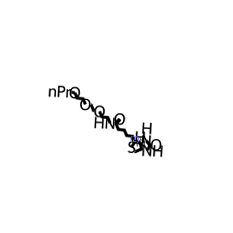 CCCOCCOCCOCCNC(=O)CCC/C=C1\SCC2NC(=O)N[C@H]12